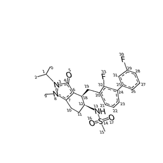 CC(C)n1c(=O)c2c(n1C)CC[C@H](NS(C)(=O)=O)[C@@H]2Cc1cccc(-c2cccc(F)c2)c1F